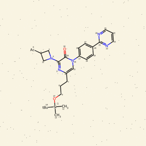 CC(=O)C1CN(c2nc(CCCO[Si](C)(C)C(C)(C)C)cn(-c3ccc(-c4ncccn4)cc3)c2=O)C1